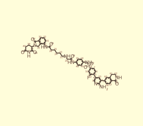 Nc1ncc(-c2ccc(S(=O)(=O)Nc3ccc(NC(=O)CNCCCCCC(=O)Nc4cccc5c4CN(C4CCC(=O)NC4=O)C5=O)cc3)cc2F)cc1-c1ccc2c(c1)CCNC2=O